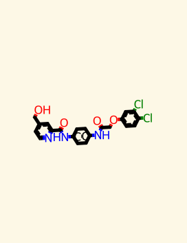 O=C(COc1ccc(Cl)c(Cl)c1)NC12CCC(NC(=O)c3cc(CO)ccn3)(CC1)CC2